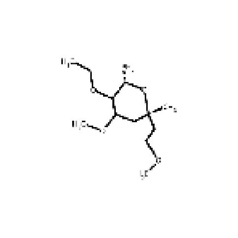 B[C@@H]1O[C@](C)(CCOC)CC(OC)C1OCC